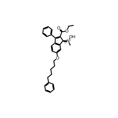 CCOC(=O)C1=C(c2ccccc2)c2ccc(OCCCCCc3ccccc3)cc2/C1=[N+](\C)O